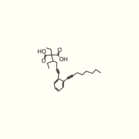 CCCCCCC#Cc1ccccc1C#CCC(CC)C(CC)(C(=O)O)C(=O)O